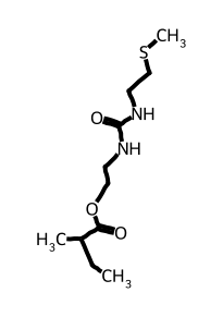 CCC(C)C(=O)OCCNC(=O)NCCSC